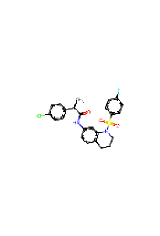 CC(C(=O)Nc1ccc2c(c1)N(S(=O)(=O)c1ccc(F)cc1)CCC2)c1ccc(Cl)cc1